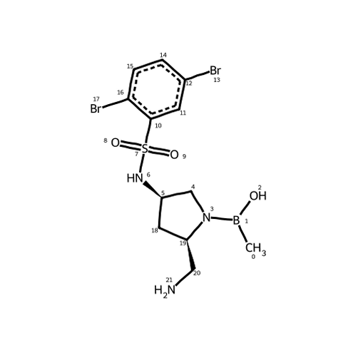 CB(O)N1C[C@H](NS(=O)(=O)c2cc(Br)ccc2Br)C[C@@H]1CN